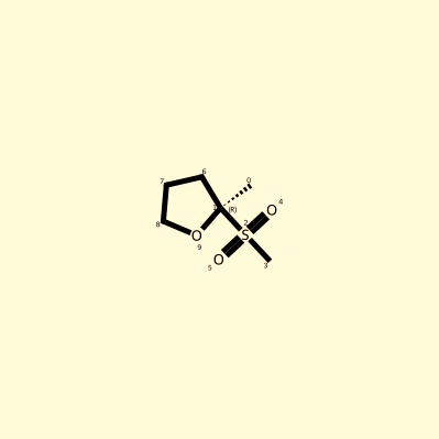 C[C@@]1(S(C)(=O)=O)CCCO1